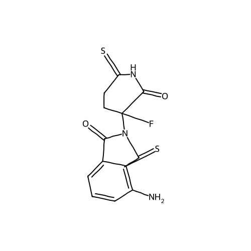 Nc1cccc2c1C(=S)N(C1(F)CCC(=S)NC1=O)C2=O